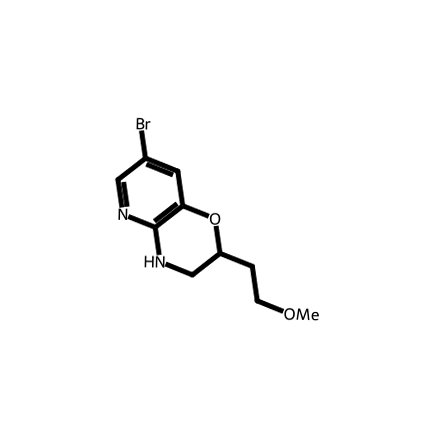 COCCC1CNc2ncc(Br)cc2O1